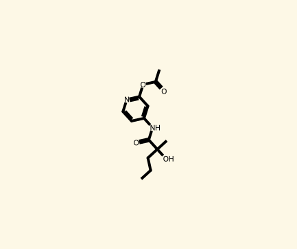 CCCC(C)(O)C(=O)Nc1ccnc(OC(C)=O)c1